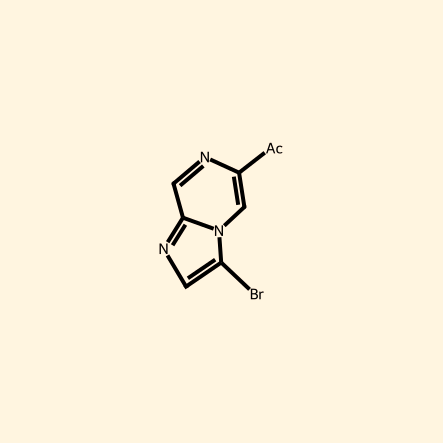 CC(=O)c1cn2c(Br)cnc2cn1